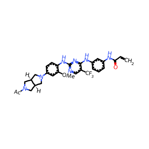 C=CC(=O)Nc1cccc(Nc2nc(Nc3ccc(N4C[C@H]5CN(C(C)=O)C[C@H]5C4)cc3OC)ncc2C(F)(F)F)c1